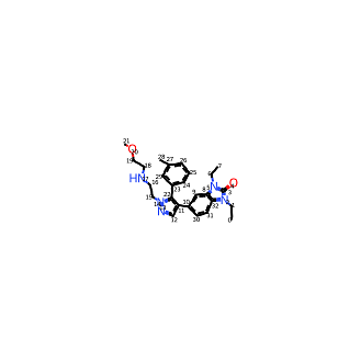 CCn1c(=O)n(CC)c2cc(-c3cnn(CCNCCOC)c3-c3cccc(C)c3)ccc21